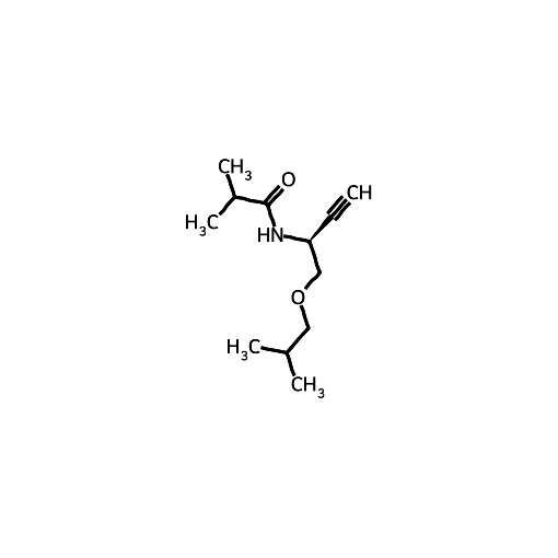 C#C[C@@H](COCC(C)C)NC(=O)C(C)C